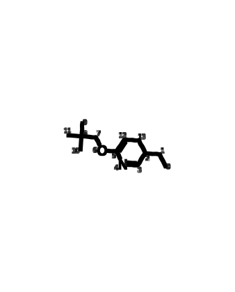 CCC1C=NC(OCC(C)(C)C)=CC1